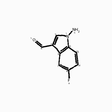 Nn1cc(C=O)c2cc(F)ccc21